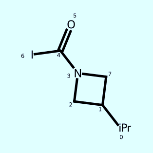 CC(C)C1CN(C(=O)I)C1